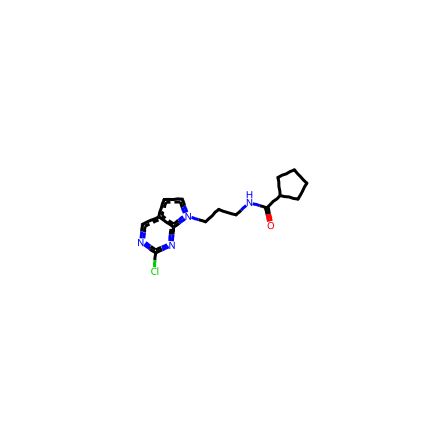 O=C(NCCCn1ccc2cnc(Cl)nc21)C1CCCC1